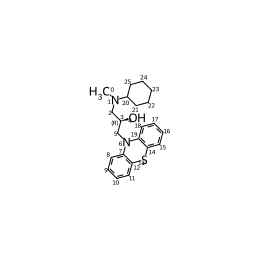 CN(C[C@@H](O)CN1c2ccccc2Sc2ccccc21)C1CCCCC1